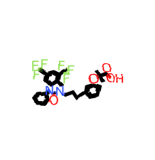 CC(C)(Oc1cccc(CCCN(Cc2ccc(C(F)(F)F)cc2C(F)(F)F)c2nc3ccccc3o2)c1)C(=O)O